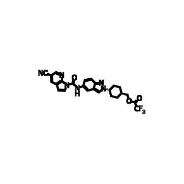 N#Cc1cnc2c(ccn2C(=O)Nc2ccc3nn([C@H]4CC[C@H](COC(=O)C(F)(F)F)CC4)cc3c2)c1